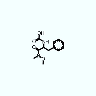 CON(C)C(=O)C(Cc1ccccc1)NC(=O)O